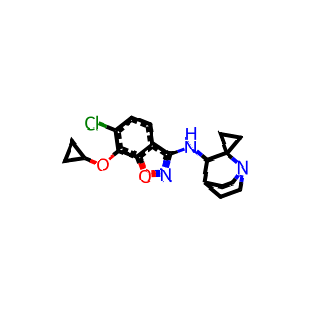 Clc1ccc2c(NC3C4CCN(CC4)C34CC4)noc2c1OC1CC1